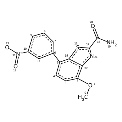 COc1ccc(-c2cccc([N+](=O)[O-])c2)c2sc(C(N)=O)nc12